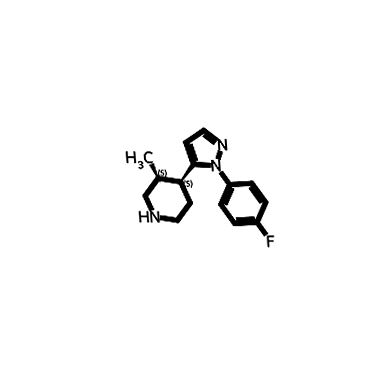 C[C@@H]1CNCC[C@@H]1c1ccnn1-c1ccc(F)cc1